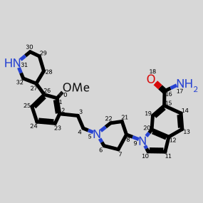 COc1c(CCN2CCC(n3ccc4ccc(C(N)=O)cc43)CC2)cccc1C1CCCNC1